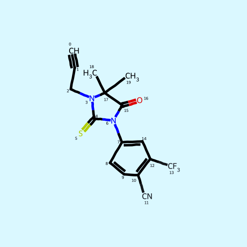 C#CCN1C(=S)N(c2ccc(C#N)c(C(F)(F)F)c2)C(=O)C1(C)C